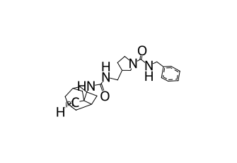 O=C(NCC1CCN(C(=O)NCc2ccccc2)C1)NC12CC3C[C@@H]4CC(C1)C2(C3)C4